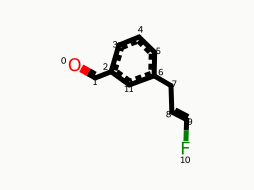 O=Cc1cccc(CC=CF)c1